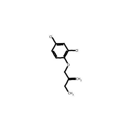 C=C(CC)COc1ccc(Cl)cc1Cl